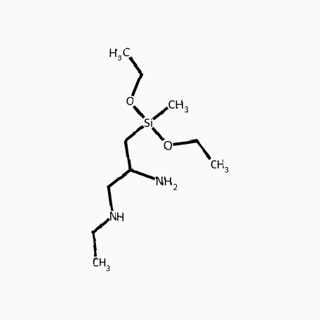 CCNCC(N)C[Si](C)(OCC)OCC